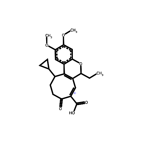 CCC1Oc2cc(OC)c(OC)cc2C2=C1/C=C(/C(=O)O)C(=O)CCC2C1CC1